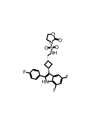 O=C1OCCN1S(=O)(=O)NC[C@H]1C[C@H](c2c(-c3ccc(F)cc3)[nH]c3c(F)cc(F)cc32)C1